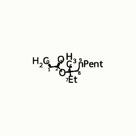 C=CC(=O)OC(C)(CC)CCCCCC